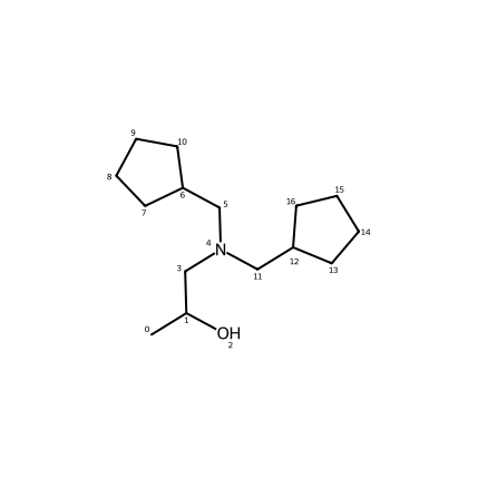 CC(O)CN(CC1CCCC1)CC1CCCC1